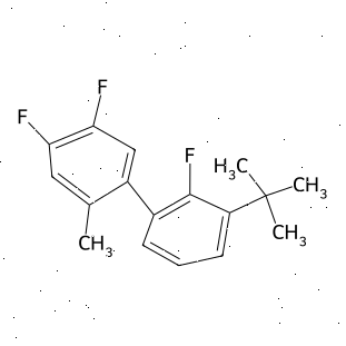 Cc1cc(F)c(F)cc1-c1cccc(C(C)(C)C)c1F